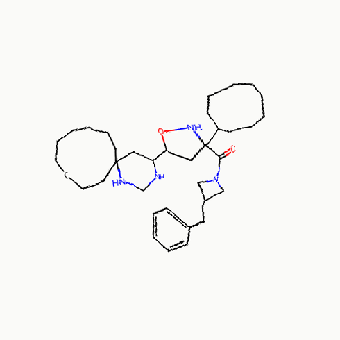 O=C(N1CC(Cc2ccccc2)C1)C1(C2CCCCCCCC2)CC(C2CC3(CCCCCCCCC3)NCN2)ON1